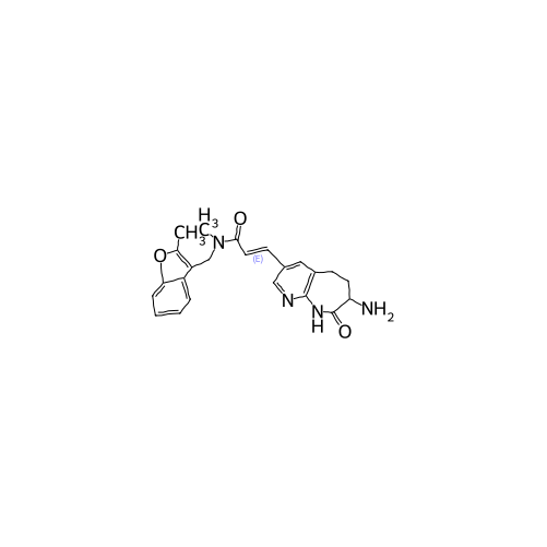 Cc1oc2ccccc2c1CN(C)C(=O)/C=C/c1cnc2c(c1)CCC(N)C(=O)N2